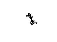 Clc1ccccc1SNc1ccc(/C=C/c2cnc(NC3CCCCC3)nc2)cn1